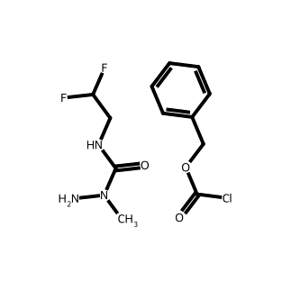 CN(N)C(=O)NCC(F)F.O=C(Cl)OCc1ccccc1